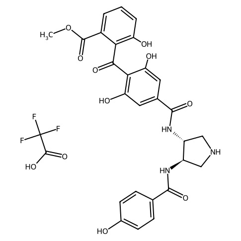 COC(=O)c1cccc(O)c1C(=O)c1c(O)cc(C(=O)N[C@@H]2CNC[C@H]2NC(=O)c2ccc(O)cc2)cc1O.O=C(O)C(F)(F)F